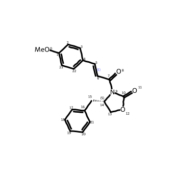 COc1ccc(/C=C/C(=O)N2C(=O)OC[C@@H]2Cc2ccccc2)cc1